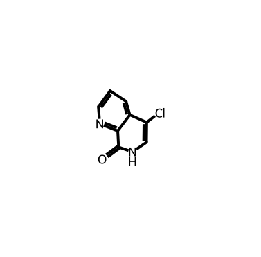 O=c1[nH]cc(Cl)c2cccnc12